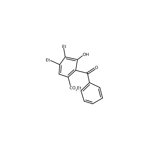 CCOC(=O)c1cc(CC)c(CC)c(O)c1C(=O)c1ccccc1